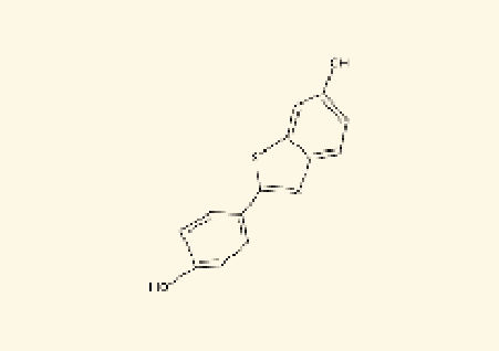 Oc1ccc(-c2[c]c3ccc(O)cc3s2)cc1